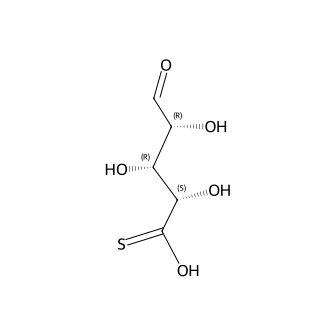 O=C[C@H](O)[C@@H](O)[C@H](O)C(O)=S